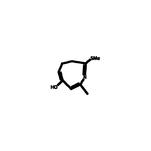 CS/C1=N/C(C)=C\C(O)=C/CC1